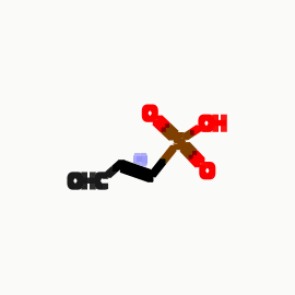 O=C/C=C/S(=O)(=O)O